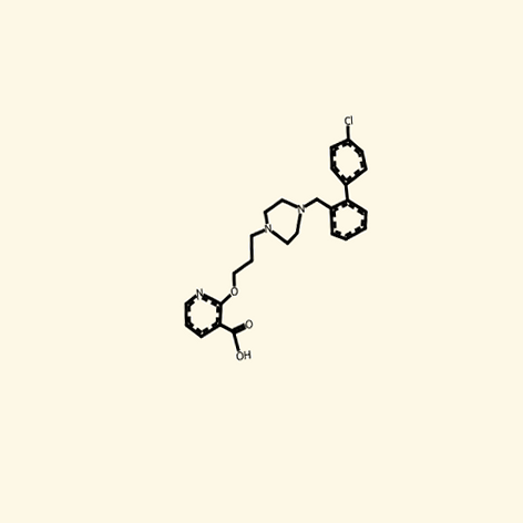 O=C(O)c1cccnc1OCCCN1CCN(Cc2ccccc2-c2ccc(Cl)cc2)CC1